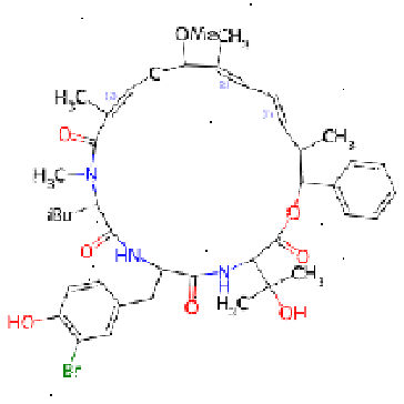 CCC(C)C1C(=O)NC(Cc2ccc(O)c(Br)c2)C(=O)NC(C(C)(C)O)C(=O)OC(c2ccccc2)C(C)/C=C/C=C(\C)C(OC)C/C=C(/C)C(=O)N1C